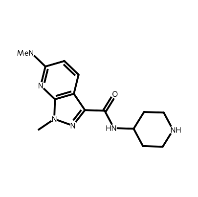 CNc1ccc2c(C(=O)NC3CCNCC3)nn(C)c2n1